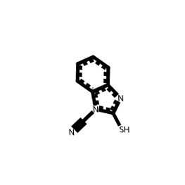 N#Cn1c(S)nc2ccccc21